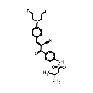 CC(C)CS(=O)(=O)Nc1ccc(C(=O)C(C#N)=Cc2ccc(N(CCF)CCF)cc2)cc1